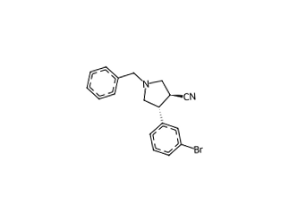 N#C[C@@H]1CN(Cc2ccccc2)C[C@H]1c1cccc(Br)c1